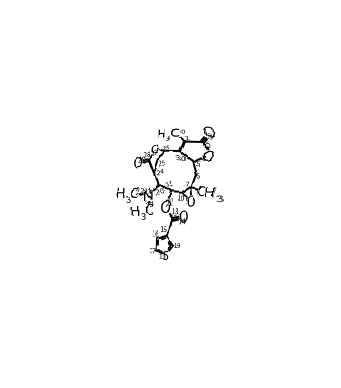 CC1C(=O)OC2CC3(C)OC3C(OC(=O)c3ccsc3)C(N(C)C)C3CC(OC3=O)C21